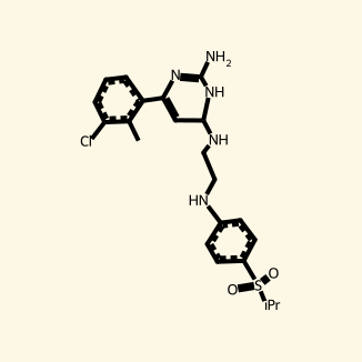 Cc1c(Cl)cccc1C1=CC(NCCNc2ccc(S(=O)(=O)C(C)C)cc2)NC(N)=N1